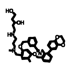 Cc1cc(CN(C)CCCNCCC(O)CCO)c(OCc2cccc(C#N)c2)cc1OCc1cccc(-c2ccc3c(c2)OCCO3)c1C